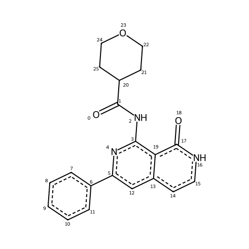 O=C(Nc1nc(-c2ccccc2)cc2cc[nH]c(=O)c12)C1CCOCC1